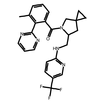 Cc1cccc(C(=O)N2CC3(CC3)CC2CNc2ccc(C(F)(F)F)cn2)c1-c1ncccn1